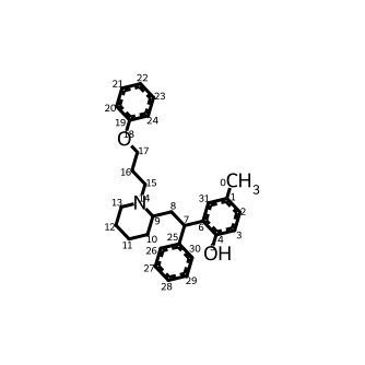 Cc1ccc(O)c(C(CC2CCCCN2CCCOc2ccccc2)c2ccccc2)c1